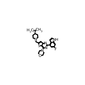 CN(C)C1CCN(Cc2cc3nc(-c4cc(F)cc5[nH]ccc45)nc(N4CCOCC4)c3s2)CC1